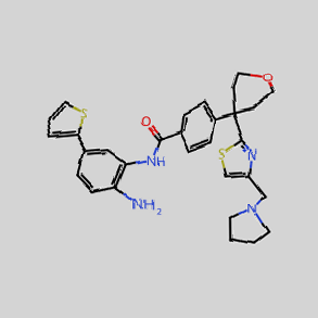 Nc1ccc(-c2cccs2)cc1NC(=O)c1ccc(C2(c3nc(CN4CCCC4)cs3)CCOCC2)cc1